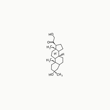 C[C@@]1(O)CC[C@@]2(C)C(CC[C@@H]3C2CC[C@]2(C)[C@@H](C(=O)CO)CC[C@@H]32)C1